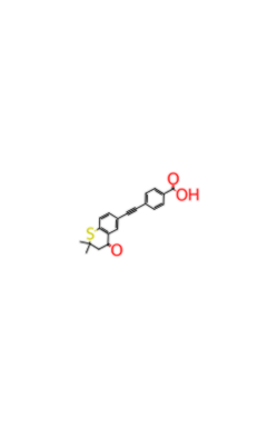 CC1(C)CC(=O)c2cc(C#Cc3ccc(C(=O)O)cc3)ccc2S1